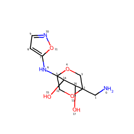 NCC12COC(Nc3ccno3)(CO1)C(O)C2O